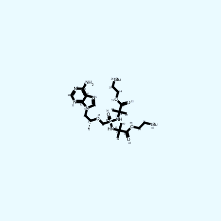 C[C@H](Cn1cnc2c(N)ncnc21)OCP(=O)(NC(C)(C)C(=O)OCCC(C)(C)C)NC(C)(C)C(=O)OCCC(C)(C)C